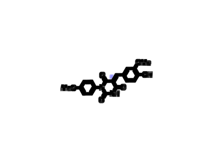 COc1ccc(N2C(=O)NC(=O)/C(=C\c3ccc(O)c(OC)c3)C2=O)cc1